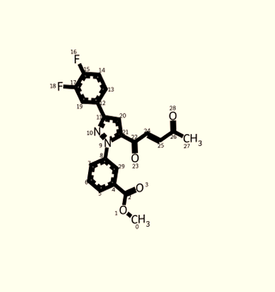 COC(=O)c1cccc(-n2nc(-c3ccc(F)c(F)c3)cc2C(=O)C=CC(C)=O)c1